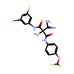 CC(=N)C(C)(C(=O)Nc1ccc(OC(F)F)cc1)C(=O)Nc1cc(F)cc(Cl)c1